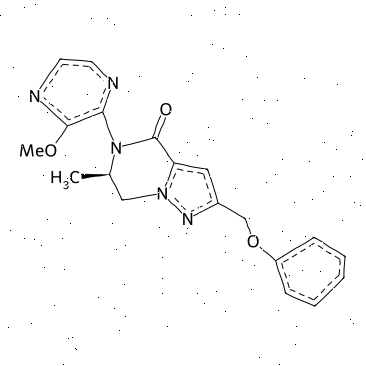 COc1nccnc1N1C(=O)c2cc(COc3ccccc3)nn2C[C@H]1C